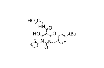 CC(C)(C)c1ccc(Cn2c(=O)c(C(=O)NCC(=O)O)c(O)n(-c3cccs3)c2=O)cc1